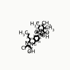 CCCCc1nc(Cl)c(CO)n1Cc1ccc(S(=O)(=O)N(CCC)[C@H](C(=O)O)[C@@H](C)CC)cc1